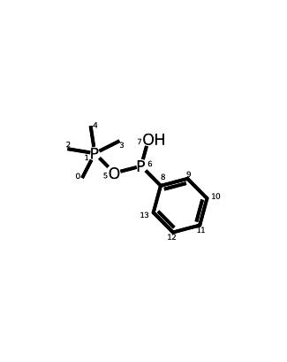 CP(C)(C)(C)OP(O)c1ccccc1